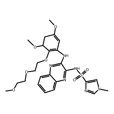 COCCOCCOC1=C(Nc2nc3ccccc3nc2NS(=O)(=O)c2cn(C)cn2)C=C(OC)CC1OC